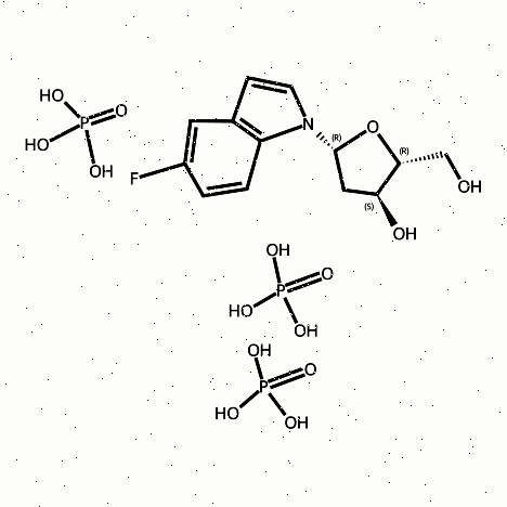 O=P(O)(O)O.O=P(O)(O)O.O=P(O)(O)O.OC[C@H]1O[C@@H](n2ccc3cc(F)ccc32)C[C@@H]1O